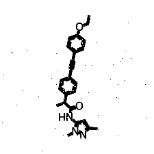 CCOc1ccc(C#Cc2ccc(C(C)C(=O)Nc3cc(C)nn3C)cc2)cc1